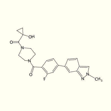 Cn1cc2ccc(-c3ccc(C(=O)N4CCN(C(=O)C5(O)CC5)CC4)c(F)c3)cc2n1